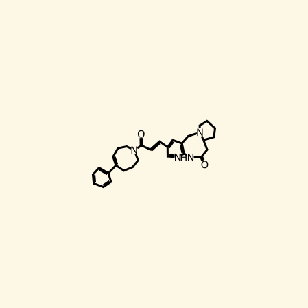 O=C1CC2CCCCN2Cc2cc(/C=C/C(=O)N3CC/C=C(/c4ccccc4)CCC3)cnc2N1